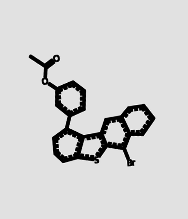 CC(=O)Oc1cccc(-c2cccc3sc4c(Br)c5ccccc5cc4c23)c1